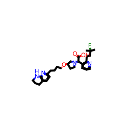 CC(C)(F)CCc1ncccc1C(C(=O)O)N1CCC(OCCCCc2ccc3c(n2)NCCC3)C1